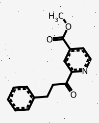 COC(=O)c1ccnc(C(=O)CCc2ccccc2)c1